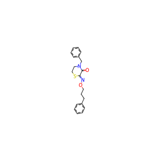 O=C1C(=NOCCCc2ccccc2)SCCN1Cc1ccccc1